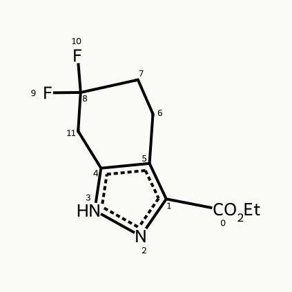 CCOC(=O)c1n[nH]c2c1CCC(F)(F)C2